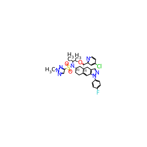 CC(C)N([C@H]1CCC2=Cc3c(cnn3-c3ccc(F)cc3)C[C@]2(C(=O)c2cc(Cl)ccn2)C1)S(=O)(=O)c1cnn(C)n1